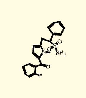 Cn1c(CC(c2ccccc2)S(N)(=O)=O)ccc1C(=O)c1ccccc1F